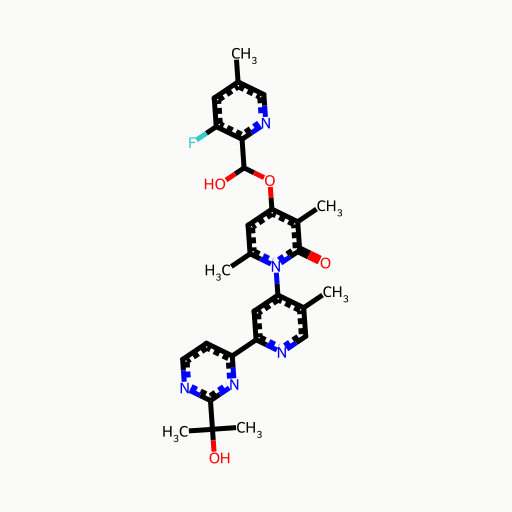 Cc1cnc(C(O)Oc2cc(C)n(-c3cc(-c4ccnc(C(C)(C)O)n4)ncc3C)c(=O)c2C)c(F)c1